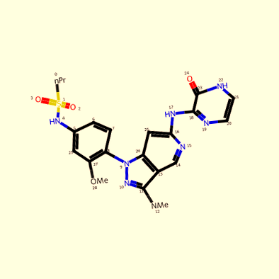 CCCS(=O)(=O)Nc1ccc(-n2nc(NC)c3cnc(Nc4ncc[nH]c4=O)cc32)c(OC)c1